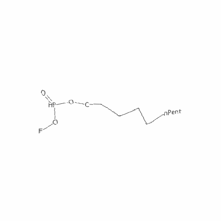 CCCCCCCCCCO[PH](=O)OF